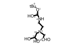 CC(C)(C)OC(O)NCCN(CC=O)CC(O)O